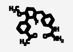 COc1ccc(Cc2ccc(NC(N)=O)cc2)c(F)c1-c1cccc(C(C)=O)c1